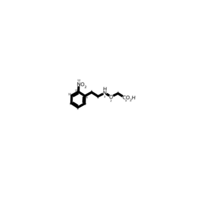 O=C(O)CONCCc1ccccc1[N+](=O)[O-]